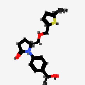 CC[C@@H](O)c1ccc(N2C(=O)CC[C@@H]2COCc2ccc(C(=O)O)s2)cc1